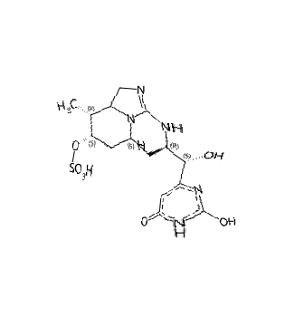 C[C@@H]1C2CN=C3N[C@@H]([C@H](O)c4cc(=O)[nH]c(O)n4)C[C@@H](C[C@@H]1OS(=O)(=O)O)N32